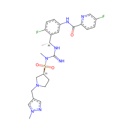 C[C@@H](NC(=N)N(C)S(=O)(=O)[C@H]1CCN(Cc2cnn(C)c2)C1)c1cc(NC(=O)c2ccc(F)cn2)ccc1F